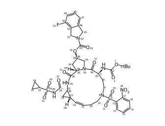 CC(C)(C)OC(=O)N[C@H]1CCN(S(=O)(=O)c2ccccc2[N+](=O)[O-])CCC=C[C@@H]2C[C@@]2(C(=O)NS(=O)(=O)C2CC2)NC(=O)[C@@H]2C[C@@H](OC(=O)N3Cc4cccc(F)c4C3)CN2C1=O